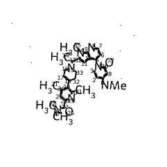 CNc1ccn(-c2ccnc3c2cc([C@H](C)N2CC=C(c4c(C)cc(C(=O)N(C)C)nc4C)CC2)n3C)c(=O)c1